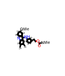 CNC(=O)OCCc1cccc(Nc2c3cc(OC)ccc3nc3cc(C)c(C)cc23)c1